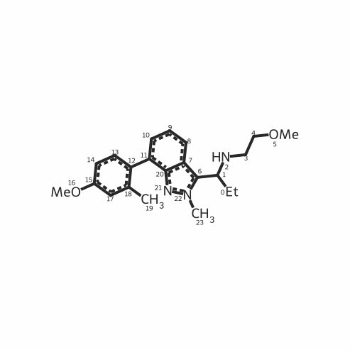 CCC(NCCOC)c1c2cccc(-c3ccc(OC)cc3C)c2nn1C